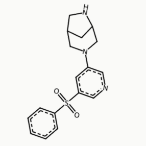 O=S(=O)(c1ccccc1)c1cncc(N2CC3CNC(C3)C2)c1